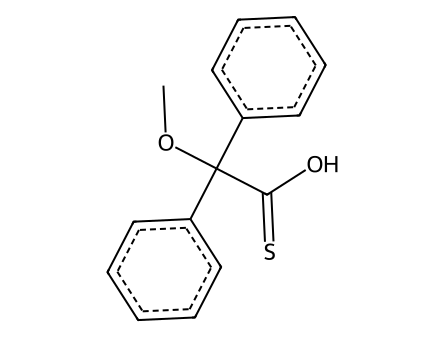 COC(C(O)=S)(c1ccccc1)c1ccccc1